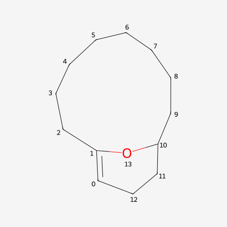 C1=C2CCCCCCCCC(CC1)O2